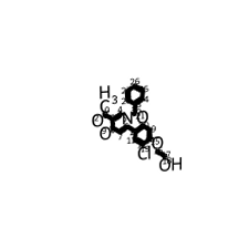 CC(=O)c1cn2c(cc1=O)-c1cc(Cl)c(OCCO)cc1OC2c1ccccc1